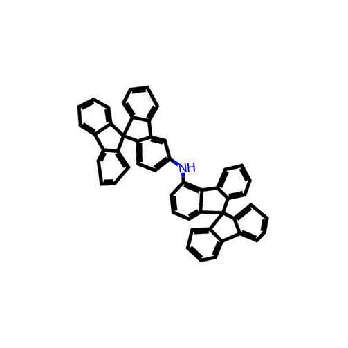 c1ccc2c(c1)-c1ccccc1C21c2ccccc2-c2cc(Nc3cccc4c3-c3ccccc3C43c4ccccc4-c4ccccc43)ccc21